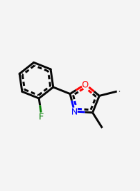 [CH2]c1oc(-c2ccccc2F)nc1C